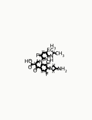 CC(C)Nc1nc(-n2cc(C(=O)O)c(=O)c3cc(F)c(N4CC(N)C4)c(Cl)c32)c(F)cc1F